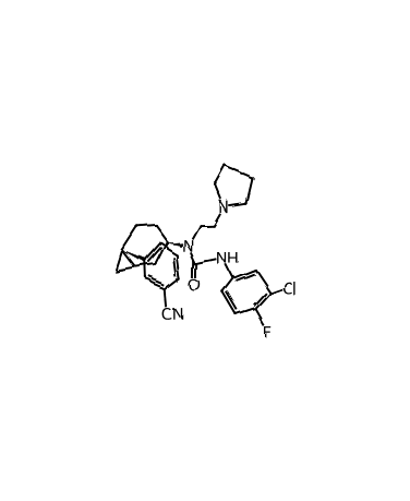 N#Cc1cccc([C@@]23CC[C@@H](N(CCN4CCCC4)C(=O)Nc4ccc(F)c(Cl)c4)CC2C3)c1